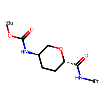 CC(C)NC(=O)[C@@H]1CC[C@@H](NC(=O)OC(C)(C)C)CO1